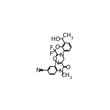 C[C@H](O)c1cccc2c1OC(F)(F)C(=O)N2Cc1nc2cc(C#N)ccc2n(C)c1=O